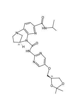 CC(C)NC(=O)c1ccc2c(n1)N(C(=O)Nc1ncc(OC[C@H]3COC(C)(C)O3)cn1)[C@H]1CCN2C1